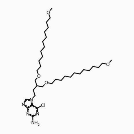 COCCCCCCCCCCCCOCC(CCn1cnc2nc(N)nc(Cl)c21)COCCCCCCCCCCCCOC